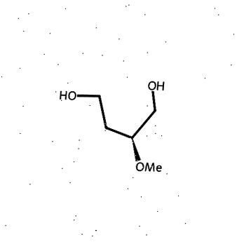 CO[C@H](CO)CCO